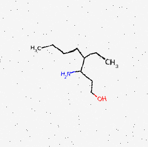 CCCCC(CC)C(N)CCO